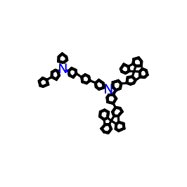 c1ccc(-c2ccc(N(c3ccccc3)c3ccc(-c4ccc(-c5ccc(-n6c7ccc(-c8ccc9c(c8)C8(c%10ccccc%10-c%10ccccc%108)c8ccccc8-9)cc7c7cc(-c8ccc9c(c8)C8(c%10ccccc%10-c%10ccccc%108)c8ccccc8-9)ccc76)cc5)cc4)cc3)cc2)cc1